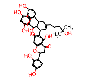 CC(C)(O)CCCC1=CC(c2c(O)cc3c(c2O)C(=O)CC(c2ccc(O)cc2O)O3)C(C(=O)c2ccc(O)cc2O)C(c2ccc(O)cc2O)C1